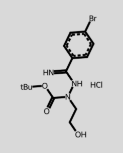 CC(C)(C)OC(=O)N(CCO)NC(=N)c1ccc(Br)cc1.Cl